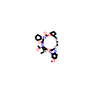 CC[C@@H]1[C@@H]2CN(C(=O)[C@H](C3CCCCC3)NC(=O)O[C@]3(C)CCCC3CCCCCc3nc4ccc(OC)cc4nc3O2)[C@@H]1C(C)=O